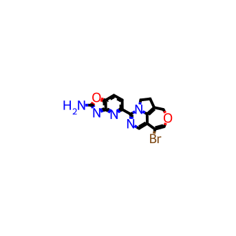 Nc1nc2nc(C3=NC=C4C(Br)=COCC5=C4N3CC5)ccc2o1